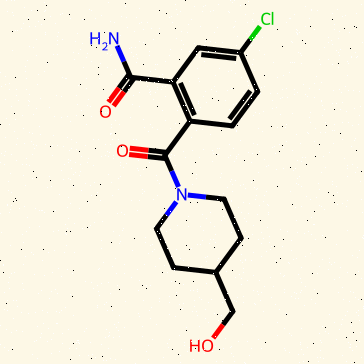 NC(=O)c1cc(Cl)ccc1C(=O)N1CCC(CO)CC1